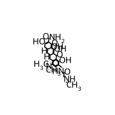 CCNCC(=O)NCc1cc(N(C)C)c2c(c1O)C(=O)C1=C(O)[C@]3(O)C(=O)C(C(N)=O)=C(O)C[C@@H]3C[C@@H]1C2